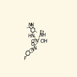 CCNCCN(CC(=O)N(C)N1Cc2ccc(F)cc2C1)C(=O)CNc1cc2c(C)nn(C)c2cc1C.Cl